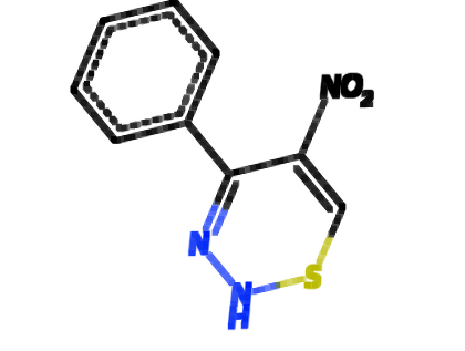 O=[N+]([O-])C1=CSNN=C1c1ccccc1